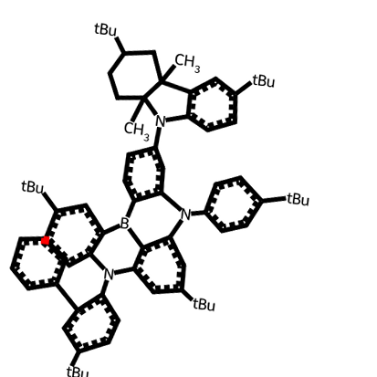 CC(C)(C)c1ccc(N2c3cc(N4c5ccc(C(C)(C)C)cc5C5(C)CC(C(C)(C)C)CCC45C)ccc3B3c4cc(C(C)(C)C)ccc4N(c4ccc(C(C)(C)C)cc4-c4ccccc4)c4cc(C(C)(C)C)cc2c43)cc1